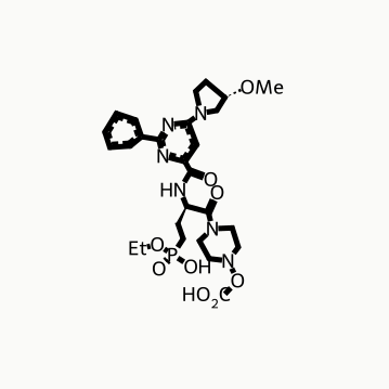 CCOP(=O)(O)CC[C@@H](NC(=O)c1cc(N2CC[C@H](OC)C2)nc(-c2ccccc2)n1)C(=O)N1CCN(OC(=O)O)CC1